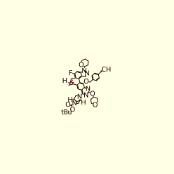 C#Cc1ccc(COc2c(-c3c(C)c(F)cc4c3cnn4C3CCCCO3)c(C3CC3)cc3c(N4C[C@@H]5C[C@H]4CN5C(=O)OC(C)(C)C)nc(OC4CCOCC4)nc23)cc1